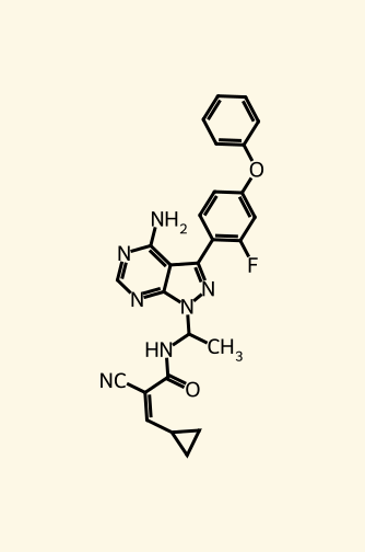 CC(NC(=O)/C(C#N)=C\C1CC1)n1nc(-c2ccc(Oc3ccccc3)cc2F)c2c(N)ncnc21